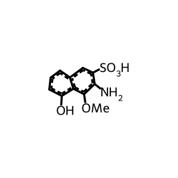 COc1c(N)c(S(=O)(=O)O)cc2cccc(O)c12